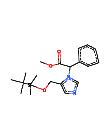 COC(=O)C(c1ccccc1)n1cncc1CO[Si](C)(C)C(C)(C)C